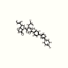 CC=C(C)C1CN(C(=O)C(CC(C)C)NC(=O)c2ccc(-c3csc(N4CCN(C)CC4)n3)cc2)C2C(=O)COC12